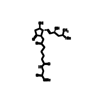 CCCC[C@H](C)C[C@@H](O)/C=C/[C@H]1C(O)CC(=O)[C@@H]1CC(=O)CCCCC(=O)NCC(=O)OC